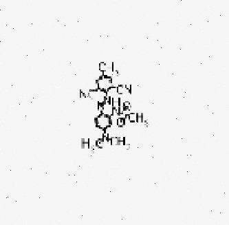 Cc1cc(C#N)c(N=Nc2ccc(N(C)C)cc2NS(C)(=O)=O)c(C#N)c1